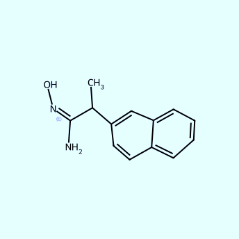 CC(/C(N)=N\O)c1ccc2ccccc2c1